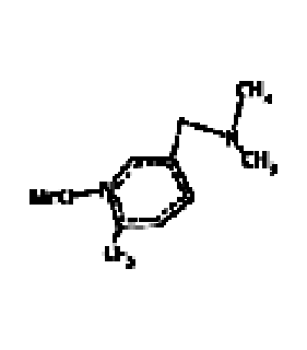 CO[n+]1cc(CN(C)C)ccc1C(F)(F)F